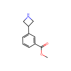 COC(=O)c1cccc(C2CNC2)c1